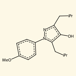 COc1ccc(-n2nc(CC(C)C)c(O)c2CC(C)C)cc1